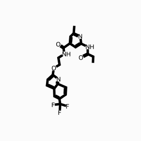 CCC(=O)Nc1cc(C(=O)NCCOc2ccc3cc(C(F)(F)F)ccc3n2)cc(C)n1